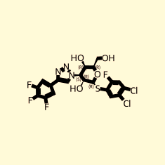 OC[C@H]1O[C@H](Sc2cc(Cl)c(Cl)cc2F)[C@H](O)[C@@H](n2cc(-c3cc(F)c(F)c(F)c3)nn2)[C@H]1O